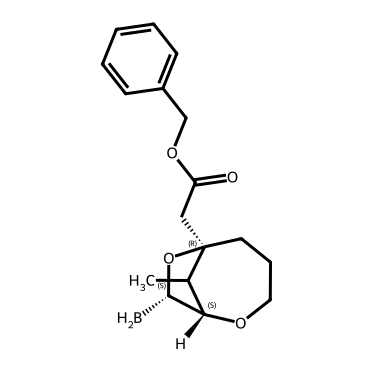 B[C@@H]1O[C@@]2(CC(=O)OCc3ccccc3)CCCO[C@H]1C2C